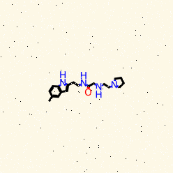 Cc1ccc2[nH]c(CCNC(=O)CNCCN3CCCC3)cc2c1